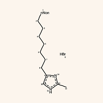 Br.CCCCCCCCCCCCCCCCc1c[nH]c(C)n1